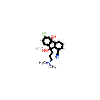 CN(C)CCCC(O)(c1ccc(F)cc1)c1c(C#N)cccc1CO.Cl